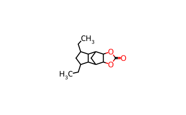 CCC1CC(CC)C2C3CC(C4OC(=O)OC34)C12